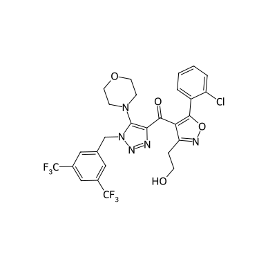 O=C(c1nnn(Cc2cc(C(F)(F)F)cc(C(F)(F)F)c2)c1N1CCOCC1)c1c(CCO)noc1-c1ccccc1Cl